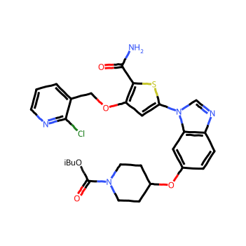 CC(C)COC(=O)N1CCC(Oc2ccc3ncn(-c4cc(OCc5cccnc5Cl)c(C(N)=O)s4)c3c2)CC1